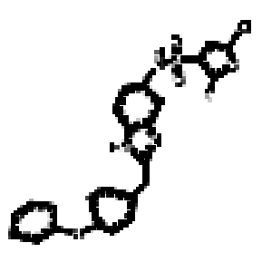 O=S(=O)(Nc1ccc2[nH]c(Cc3ccc(Oc4ccccc4)cc3)nc2c1)c1cc(Cl)sc1Cl